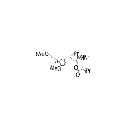 COCCCOc1cc(C[C@@H](C[C@H](N=[N+]=[N-])[C@@H]2C[C@@H](C(C)C)C(=O)O2)C(C)C)ccc1OC